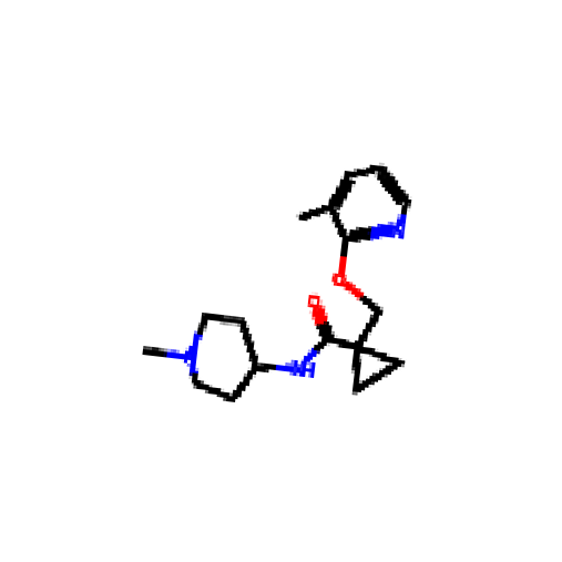 Cc1cccnc1OCC1(C(=O)NC2CCN(C)CC2)CC1